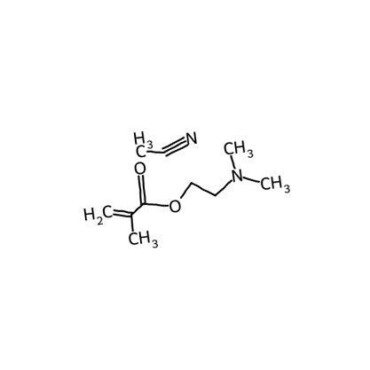 C=C(C)C(=O)OCCN(C)C.CC#N